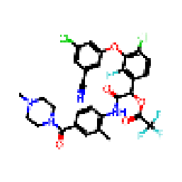 Cc1cc(C(=O)N2CCN(C)CC2)ccc1NC(=O)C(OC(=O)C(F)(F)F)c1ccc(Cl)c(Oc2cc(Cl)cc(C#N)c2)c1F